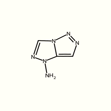 Nn1ncn2nncc12